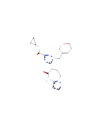 CN1C(=O)[C@H](c2nc(C(=O)NC3CC3)nn2CC2CCCOC2)CCn2nccc21